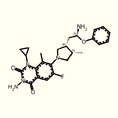 Cc1c(N2C[C@H](C[C@@H](N)Oc3ccccc3)[C@H](C)C2)c(F)cc2c(=O)n(N)c(=O)n(C3CC3)c12